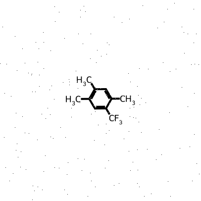 Cc1cc(C)c(C(F)(F)F)cc1C